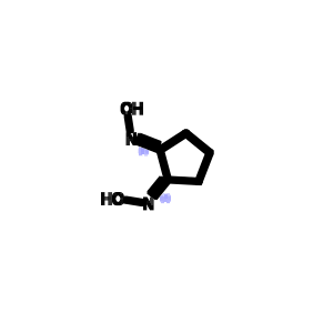 O/N=C1/CCC/C1=N\O